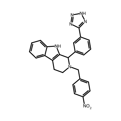 O=[N+]([O-])c1ccc(CN2CCc3c([nH]c4ccccc34)C2c2cccc(-c3nn[nH]n3)c2)cc1